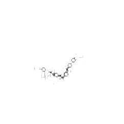 Cc1ccc(-c2ccc(C(=O)Oc3ccc(CN(CC(=O)O)C(=O)c4ccc(NC(=O)CCc5ccc(Cl)cc5)cc4)cc3)cc2)cc1